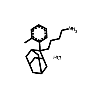 Cc1ccccc1C1(CCCCN)C2CC3CC(C2)CC1C3.Cl